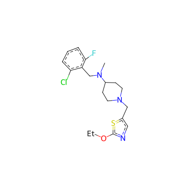 CCOc1ncc(CN2CCC(N(C)Cc3c(F)cccc3Cl)CC2)s1